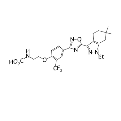 CCn1nc(-c2nc(-c3ccc(OCCNC(=O)O)c(C(F)(F)F)c3)no2)c2c1CC(C)(C)CC2